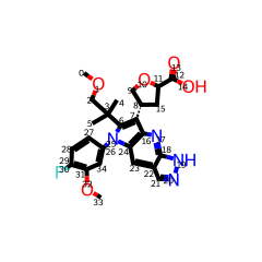 COCC(C)(C)c1c([C@@H]2COC(C(=O)O)C2)c2nc3[nH]ncc3cc2n1-c1ccc(F)c(OC)c1